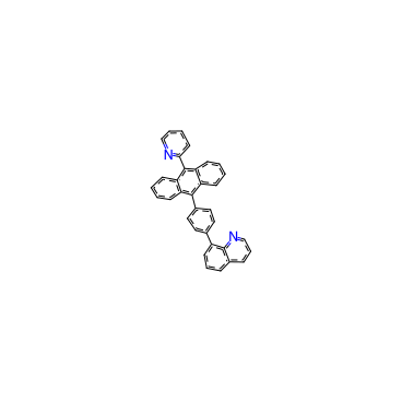 c1ccc(-c2c3ccccc3c(-c3ccc(-c4cccc5cccnc45)cc3)c3ccccc23)nc1